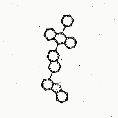 c1ccc(-c2c3ccccc3c(-c3ccc4cc(-c5cccc6c5oc5ccccc56)ccc4c3)c3ccccc23)cc1